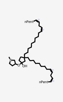 CCCCC/C=C\C/C=C\CCCCCCCCCC1(CCCCCCCC/C=C\C/C=C\CCCCC)CCC(O)(OC2CCN(C)C2)C1